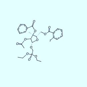 CCOP(=O)(CO[C@H]1O[C@@H](COC(=O)c2ccccc2I)[C@](C)(OC(=O)c2ccccc2)C1OC(C)=O)OCC